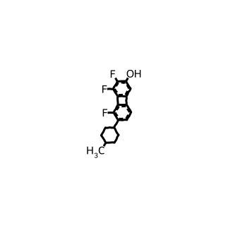 CC1CCC(c2ccc3c(c2F)-c2c-3cc(O)c(F)c2F)CC1